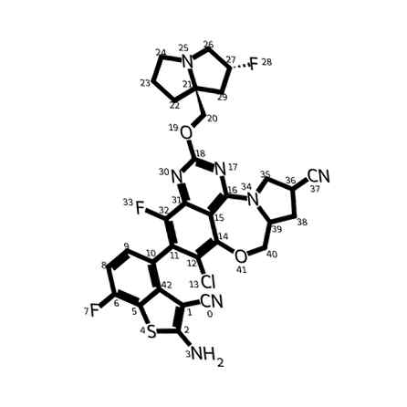 N#Cc1c(N)sc2c(F)ccc(-c3c(Cl)c4c5c(nc(OC[C@@]67CCCN6C[C@H](F)C7)nc5c3F)N3CC(C#N)CC3CO4)c12